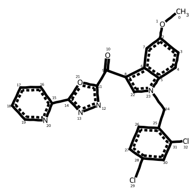 COc1ccc2c(c1)c(C(=O)c1nnc(-c3ccccn3)o1)cn2Cc1ccc(Cl)cc1Cl